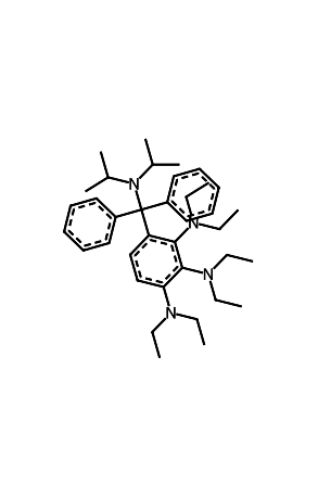 CCN(CC)c1ccc(C(c2ccccc2)(c2ccccc2)N(C(C)C)C(C)C)c(N(CC)CC)c1N(CC)CC